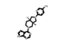 C[C@]12CN(c3ccc(C#N)cn3)C[C@H]1CCN(c1ncnc3[nH]ccc13)C2